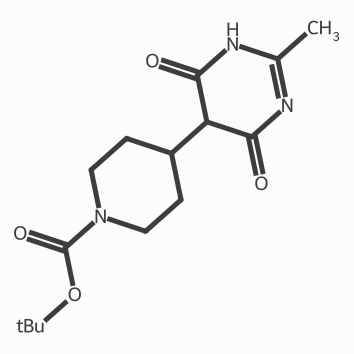 CC1=NC(=O)C(C2CCN(C(=O)OC(C)(C)C)CC2)C(=O)N1